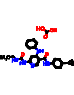 CCNC(=O)Nc1cc(Nc2ccccc2)c(C(=O)Nc2ccc(C3CC3)cc2)cn1.O=C(O)O